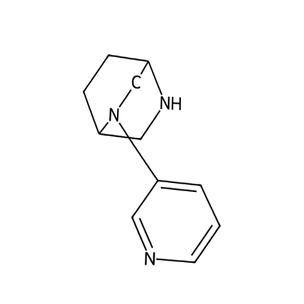 c1cncc(N2CC3CCC2CN3)c1